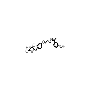 CC(=NOCCOc1ccc(CC2SC(=O)NC2=O)cc1)c1cccc(O)c1